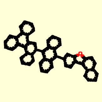 c1ccc2c(c1)ccc1oc3cc(-c4c5ccccc5c(-c5cc6c7ccccc7c7ccccc7c6c6ccccc56)c5ccccc45)ccc3c12